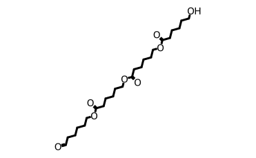 O=CCCCCCOC(=O)CCCCCOC(=O)CCCCCOC(=O)CCCCCO